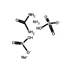 N.NC(N)=O.O=S(=O)([O-])O.O=[N+]([O-])O.[Na+]